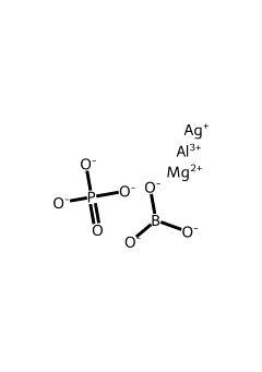 O=P([O-])([O-])[O-].[Ag+].[Al+3].[Mg+2].[O-]B([O-])[O-]